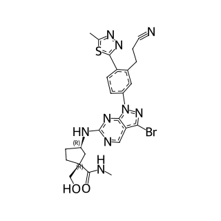 CNC(=O)[C@]1(CO)CC[C@@H](Nc2ncc3c(Br)nn(-c4ccc(-c5nnc(C)s5)c(CCC#N)c4)c3n2)C1